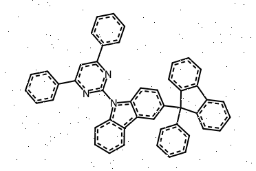 c1ccc(-c2cc(-c3ccccc3)nc(-n3c4ccccc4c4cc(C5(c6ccccc6)c6ccccc6-c6ccccc65)ccc43)n2)cc1